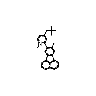 Cc1cc2c(cc1-c1cc(CC(C)(C)C)cc[n+]1C)-c1cccc3cccc-2c13